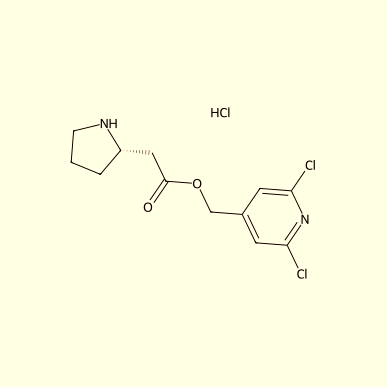 Cl.O=C(C[C@@H]1CCCN1)OCc1cc(Cl)nc(Cl)c1